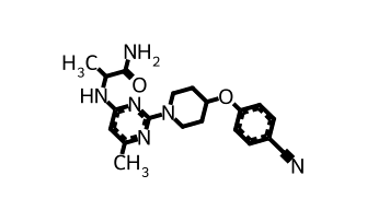 Cc1cc(NC(C)C(N)=O)nc(N2CCC(Oc3ccc(C#N)cc3)CC2)n1